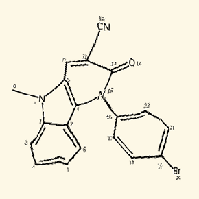 Cn1c2ccccc2c2c1cc(C#N)c(=O)n2-c1ccc(Br)cc1